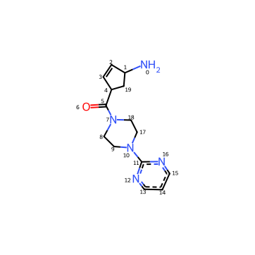 NC1C=CC(C(=O)N2CCN(c3ncccn3)CC2)C1